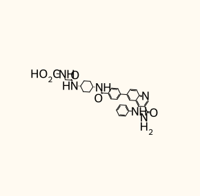 NC(=O)c1cnc2ccc(-c3ccc(C(=O)N[C@H]4CC[C@@H](NC(=O)CNC(=O)O)CC4)cc3)cc2c1Nc1ccccc1